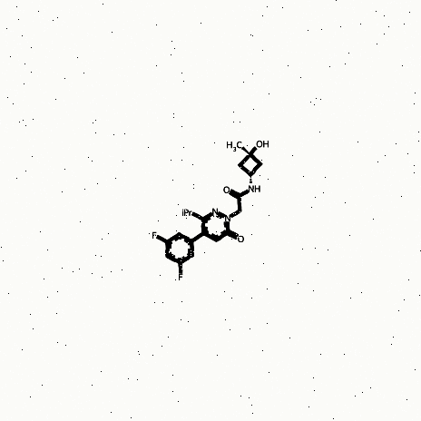 CC(C)c1nn(CC(=O)N[C@H]2C[C@@](C)(O)C2)c(=O)cc1-c1cc(F)cc(F)c1